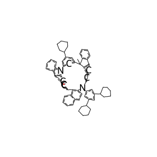 CC12c3cc(C4CCCCC4)cc(c3)-n3c4ccccc4c4cc(ccc43)-c3c(ccc4ccccc34)N(c3cc(C4CCCCC4)cc(C4CCCCC4)c3)c3ccc1c(c3)-c1ccccc12